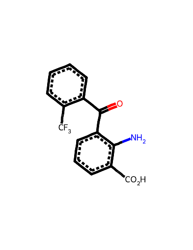 Nc1c(C(=O)O)cccc1C(=O)c1ccccc1C(F)(F)F